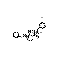 O=C1C(P(=O)(O)NCc2cccc(F)c2)CCCN1OCc1ccccc1